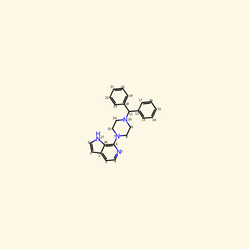 [c]1cc2ccnc(N3CCN(C(c4ccccc4)c4ccccc4)CC3)c2[nH]1